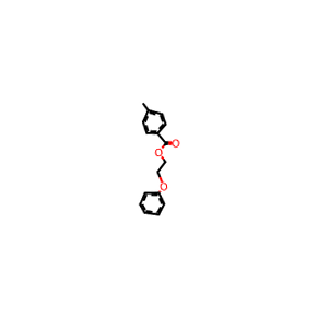 Cc1ccc(C(=O)OCCOc2ccccc2)cc1